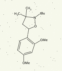 COc1ccc(C2CC(C)(C)N(C(C)(C)C)O2)c(OC)c1